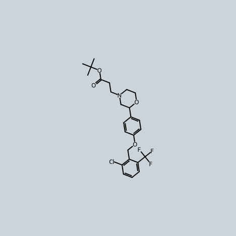 CC(C)(C)OC(=O)CCN1CCOC(c2ccc(OCc3c(Cl)cccc3C(F)(F)F)cc2)C1